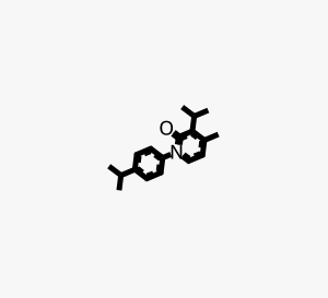 Cc1ccn(-c2ccc(C(C)C)cc2)c(=O)c1C(C)C